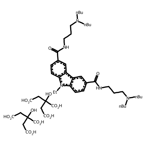 CCCCN(CCCC)CCCNC(=O)c1ccc2c(c1)c1cc(C(=O)NCCCN(CCCC)CCCC)ccc1n2CC.O=C(O)CC(O)(CC(=O)O)C(=O)O.O=C(O)CC(O)(CC(=O)O)C(=O)O